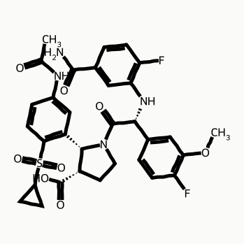 COc1cc([C@@H](Nc2cc(C(N)=O)ccc2F)C(=O)N2CC[C@H](C(=O)O)[C@@H]2c2cc(NC(C)=O)ccc2S(=O)(=O)C2CC2)ccc1F